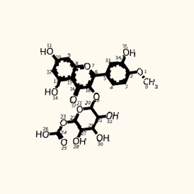 COc1ccc(-c2oc3cc(O)cc(O)c3c(=O)c2OC2OC(OC(=O)O)C(O)C(O)C2O)cc1O